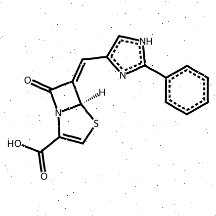 O=C(O)C1=CS[C@@H]2/C(=C\c3c[nH]c(-c4ccccc4)n3)C(=O)N12